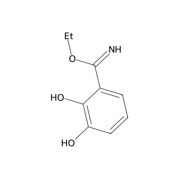 CCOC(=N)c1cccc(O)c1O